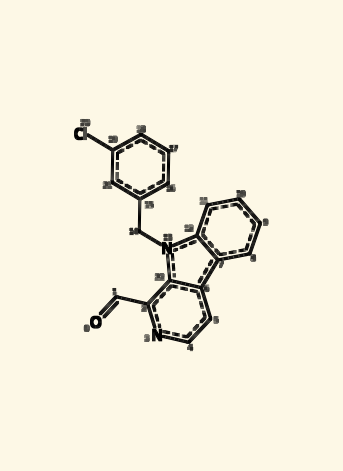 O=Cc1nccc2c3ccccc3n(Cc3cccc(Cl)c3)c12